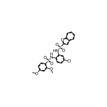 COc1ccc(S(=O)(=O)Nc2ccc(Cl)cc2NS(=O)(=O)c2cc3ccccc3o2)c(OC)c1